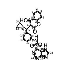 O=c1oc2ccccc2c(O)c1C(c1cccc(NS(=O)(=O)c2ncnc3nc[nH]c23)c1)C1CC1